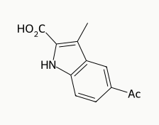 CC(=O)c1ccc2[nH]c(C(=O)O)c(C)c2c1